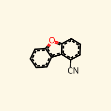 N#Cc1cccc2oc3ccccc3c12